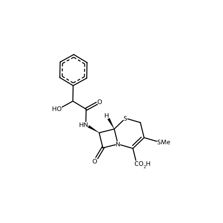 CSC1=C(C(=O)O)N2C(=O)[C@@H](NC(=O)C(O)c3ccccc3)[C@@H]2SC1